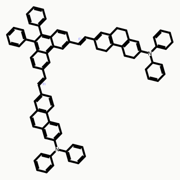 C1=CCC(N(C2=CCCC=C2)C2=CC3=C(CC2)C2=C(C=C(/C=C/c4ccc5c(-c6ccccc6)c(-c6ccccc6)c6ccc(/C=C/c7ccc8c(ccc9cc(N(c%10ccccc%10)c%10ccccc%10)ccc98)c7)cc6c5c4)CC2)CC3)C=C1